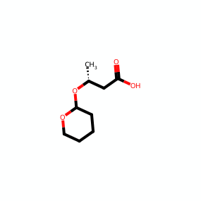 C[C@H](CC(=O)O)OC1CCCCO1